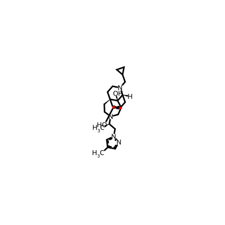 Cc1cnn(C[C@@H](C)N2CC[C@]34CCN(CC5CC5)[C@H](Cc5ccc(O)cc53)[C@]4(O)CC2)c1